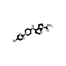 NC(=O)n1ccc2c(NC3CCN(c4ncc(Br)cn4)CC3)ccnc21